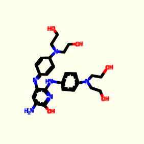 Nc1cc(N=C2C=CC(N(CCO)CCO)C=C2)c(Nc2ccc(N(CCO)CCO)cc2)nc1O